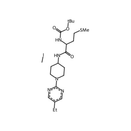 CCc1cnc(N2CCC(NC(=O)C(CCSC)NC(=O)OC(C)(C)C)CC2)nc1.CI